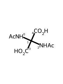 CC(=O)NC(NC(C)=O)(C(=O)O)C(=O)O